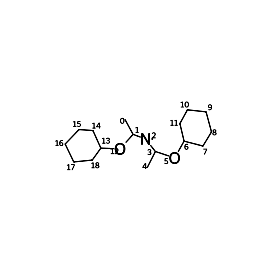 CC([N]C(C)OC1CCCCC1)OC1CCCCC1